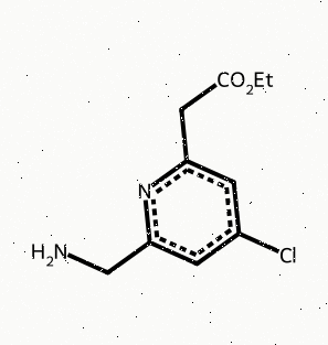 CCOC(=O)Cc1cc(Cl)cc(CN)n1